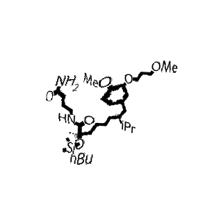 CCCC[Si](C)(C)O[C@](C)(CCCC[C@@H](Cc1ccc(OC)c(OCCCOC)c1)C(C)C)C(=O)NCCCC(N)=O